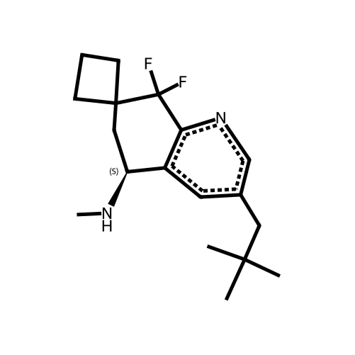 CN[C@H]1CC2(CCC2)C(F)(F)c2ncc(CC(C)(C)C)cc21